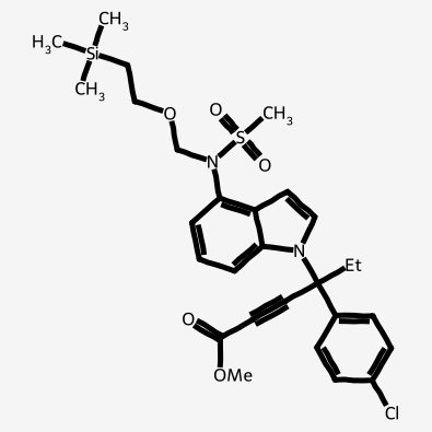 CCC(C#CC(=O)OC)(c1ccc(Cl)cc1)n1ccc2c(N(COCC[Si](C)(C)C)S(C)(=O)=O)cccc21